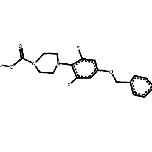 CC(C)(C)OC(=O)N1CCN(c2c(F)cc(OCc3ccccc3)cc2F)CC1